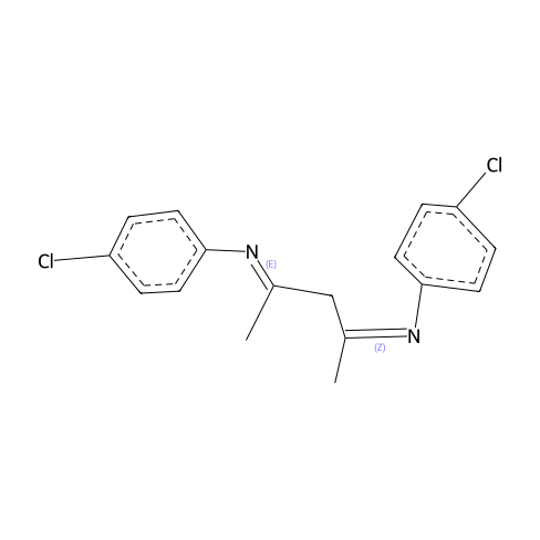 C/C(C/C(C)=N/c1ccc(Cl)cc1)=N/c1ccc(Cl)cc1